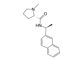 C[C@H](NC(=O)[C@@H]1CCCN1C)c1ccc2ccccc2c1